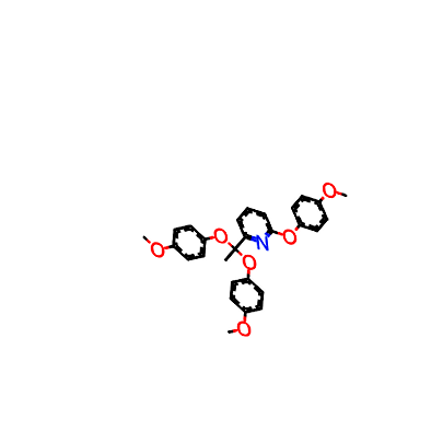 COc1ccc(Oc2cccc(C(C)(Oc3ccc(OC)cc3)Oc3ccc(OC)cc3)n2)cc1